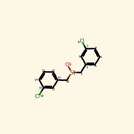 [O-][S+](Cc1cccc(Cl)c1)Cc1cccc(Cl)c1